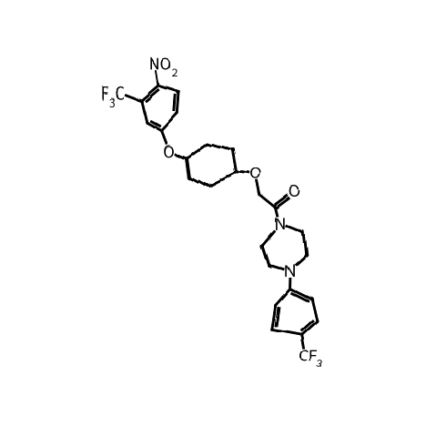 O=C(COC1CCC(Oc2ccc([N+](=O)[O-])c(C(F)(F)F)c2)CC1)N1CCN(c2ccc(C(F)(F)F)cc2)CC1